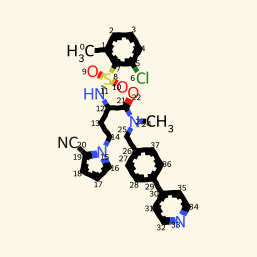 Cc1cccc(Cl)c1S(=O)(=O)NC(CCn1cccc1C#N)C(=O)N(C)Cc1ccc(-c2ccncc2)cc1